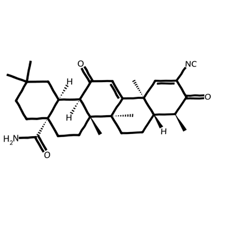 [C-]#[N+]C1=C[C@]2(C)C3=CC(=O)[C@@H]4[C@@H]5CC(C)(C)CC[C@]5(C(N)=O)CC[C@@]4(C)[C@]3(C)CC[C@H]2[C@H](C)C1=O